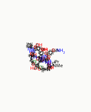 CN[C@H](CC(C)C)C(=O)N[C@H]1C(=O)N[C@@H](CC(=O)NS(=O)(=O)c2ccc(OCCN)cc2)C(=O)N[C@H]2C(=O)N[C@H]3C(=O)N[C@H](C(=O)N[C@H](C(=O)NC4C5CC6CC(C5)CC4C6)c4cc(O)cc(O)c4-c4cc3ccc4O)[C@H](O)c3ccc(c(Cl)c3)Oc3cc2cc(c3O)Oc2ccc(cc2Cl)[C@H]1O